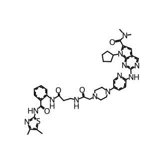 Cc1nc(NC(=O)c2ccccc2NC(=O)CCNC(=O)CN2CCN(c3ccc(Nc4ncc5cc(C(=O)N(C)C)n(C6CCCC6)c5n4)nc3)CC2)sc1C